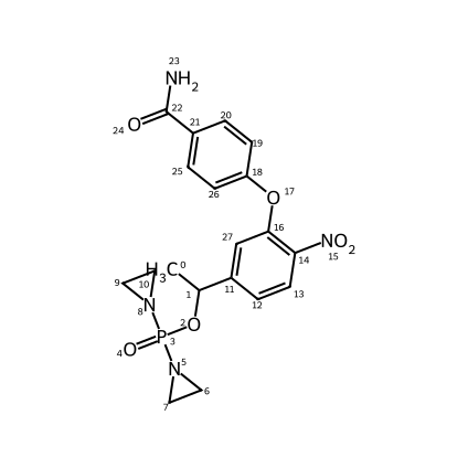 CC(OP(=O)(N1CC1)N1CC1)c1ccc([N+](=O)[O-])c(Oc2ccc(C(N)=O)cc2)c1